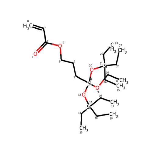 C=CC(=O)OCCC[Si](OCC)(O[Si](CC)(CC)CC)O[Si](CC)(CC)CC